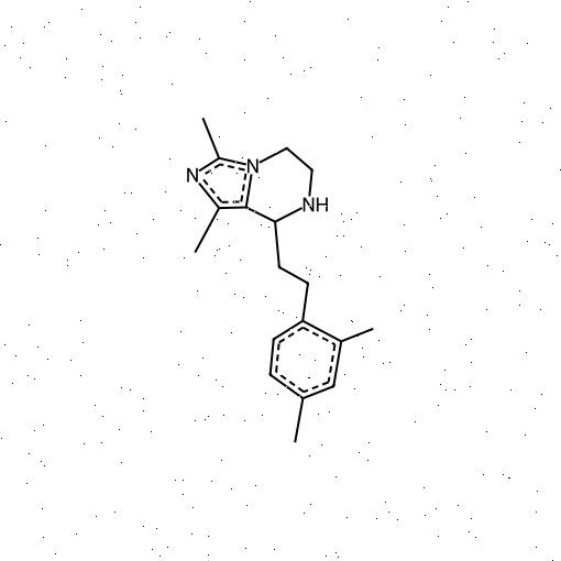 Cc1ccc(CCC2NCCn3c(C)nc(C)c32)c(C)c1